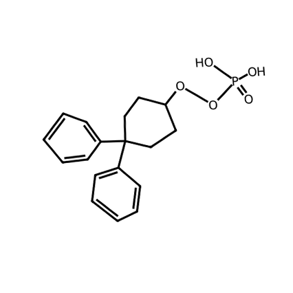 O=P(O)(O)OOC1CCC(c2ccccc2)(c2ccccc2)CC1